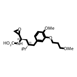 COCCCOc1cc(C[C@@H](C[C@@H](NC(=O)O)C2CO2)C(C)C)ccc1OC